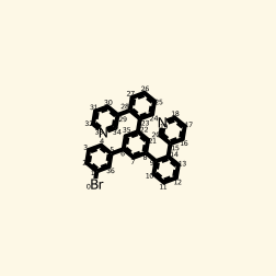 Brc1cccc(-c2cc(-c3ccccc3-c3cccnc3)cc(-c3ccccc3-c3cccnc3)c2)c1